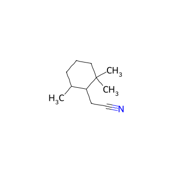 CC1CCCC(C)(C)C1CC#N